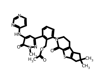 CC(=O)OCc1c(-c2cc(Nc3ccncn3)c(=O)n(C)n2)cccc1N1CCc2c(sc3c2CC(C)(C)C3)C1=O